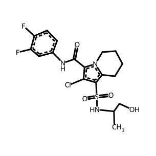 CC(CO)NS(=O)(=O)c1c(Cl)c(C(=O)Nc2ccc(F)c(F)c2)n2c1CCCC2